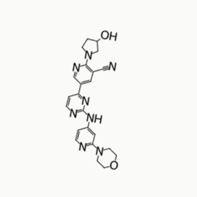 N#Cc1cc(-c2ccnc(Nc3ccnc(N4CCOCC4)c3)n2)cnc1N1CCC(O)C1